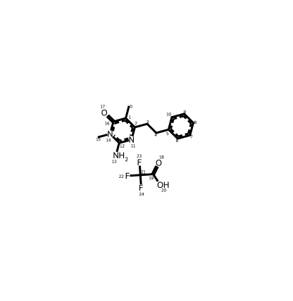 Cc1c(CCc2ccccc2)nc(N)n(C)c1=O.O=C(O)C(F)(F)F